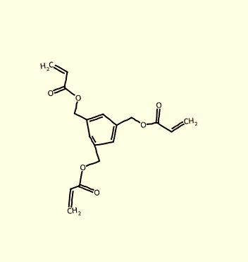 C=CC(=O)OCc1cc(COC(=O)C=C)cc(COC(=O)C=C)c1